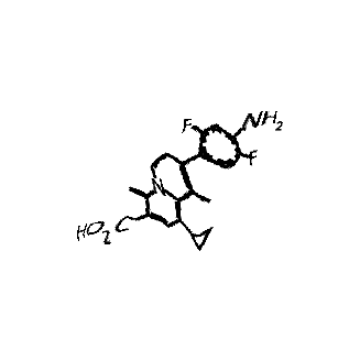 C=C1C(C(=O)O)=CC(C2CC2)=C2C(C)=C(c3cc(F)c(N)cc3F)C=CN12